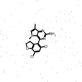 Cc1cn(C)c2c(-c3c(Cl)cc(Cl)c4c3CCO4)nc(N)nc12